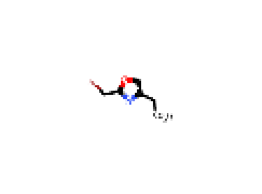 O=C(O)Cc1coc(CBr)n1